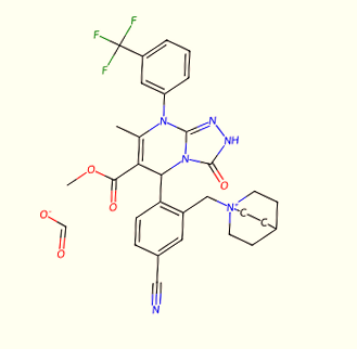 COC(=O)C1=C(C)N(c2cccc(C(F)(F)F)c2)c2n[nH]c(=O)n2C1c1ccc(C#N)cc1C[N+]12CCC(CC1)CC2.O=C[O-]